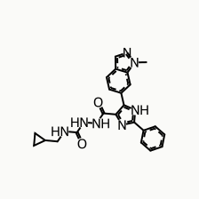 Cn1ncc2ccc(-c3[nH]c(-c4ccccc4)nc3C(=O)NNC(=O)NCC3CC3)cc21